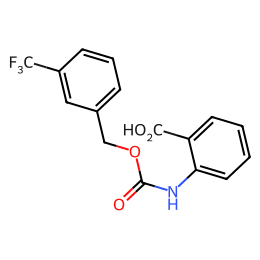 O=C(Nc1ccccc1C(=O)O)OCc1cccc(C(F)(F)F)c1